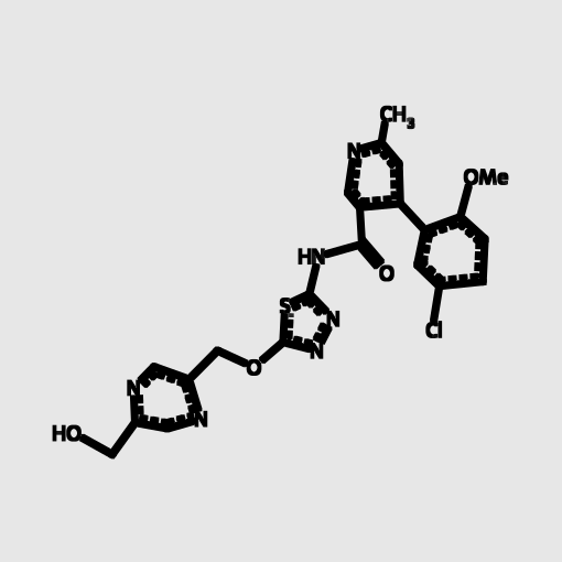 COc1ccc(Cl)cc1-c1cc(C)ncc1C(=O)Nc1nnc(OCc2cnc(CO)cn2)s1